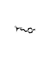 O=C(I)NCCCN1CCN(I)CC1